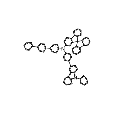 c1ccc(-c2ccc(-c3ccc(N(c4ccc(-c5ccc6c(c5)c5ccccc5n6-c5ccccc5)cc4)c4ccc5c(c4)C4(c6ccccc6-c6ccccc64)c4ccccc4-5)cc3)cc2)cc1